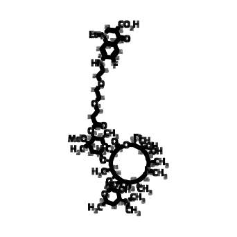 CC[C@H]1OC(=O)[C@H](C)[C@@H](O[C@H]2C[C@@](C)(OC)[C@@H](OC(=O)CCOCCOCCNc3cc4c(cc3F)c(=O)c(C(=O)O)cn4CC)[C@H](C)O2)[C@H](C)[C@@H](O[C@@H]2O[C@H](C)C[C@H](N(C)C)[C@H]2O)[C@](C)(O)C[C@@H](C)CN(C)[C@H](C)[C@@H](O)[C@]1(C)O